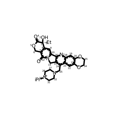 CC[C@@]1(O)C(=O)OCc2c1cc1n(c2=O)Cc2c-1nc1cc3c(cc1c2CN1CCN(C(C)C)CC1)OCCO3